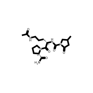 CC(=O)NCCC[C@H](NC(=O)N1CC(C)CC1=O)C(=O)N1CCC[C@H]1C(N)=O